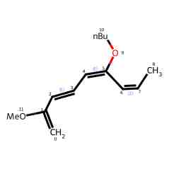 C=C(/C=C/C=C(\C=C/C)OCCCC)OC